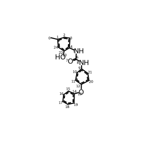 Cc1ccc(NC(=O)Nc2ccc(Oc3ccccc3)cc2)c(O)c1